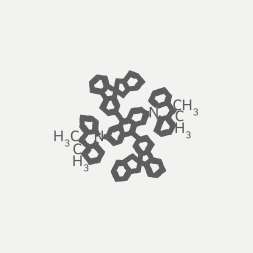 CC1(C)c2ccccc2N(c2ccc3c(-c4ccc5c(c4)C4(CC6C=CC=CC6C4)c4ccccc4-5)c4cc(N5c6ccccc6C(C)(C)c6ccccc65)ccc4c(-c4ccc5c(c4)C4(Cc6ccccc6C4)c4ccccc4-5)c3c2)c2ccccc21